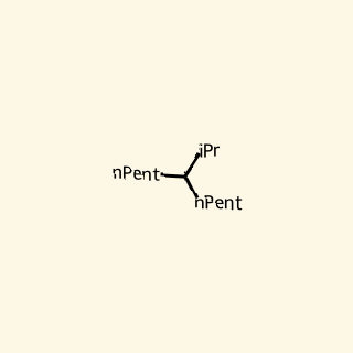 CCCCC[C](CCCCC)C(C)C